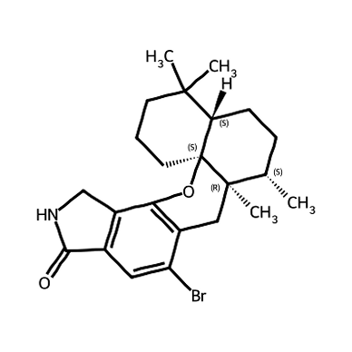 C[C@H]1CC[C@H]2C(C)(C)CCC[C@]23Oc2c(c(Br)cc4c2CNC4=O)C[C@]13C